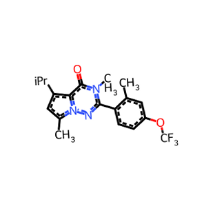 Cc1cc(OC(F)(F)F)ccc1-c1nn2c(C)cc(C(C)C)c2c(=O)n1C